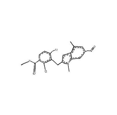 COC(=O)c1ccc(Cl)c(Cc2cc3c(C)cc(N=O)cc3n2C)c1Cl